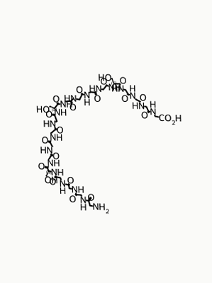 NCC(=O)NCC(=O)NCC(=O)NCC(=O)N[C@@H](CO)C(=O)NCC(=O)NCC(=O)NCC(=O)NCC(=O)N[C@@H](CO)C(=O)NCC(=O)NCC(=O)NCC(=O)NCC(=O)N[C@@H](CO)C(=O)NCC(=O)NCC(=O)NCC(=O)NCC(=O)O